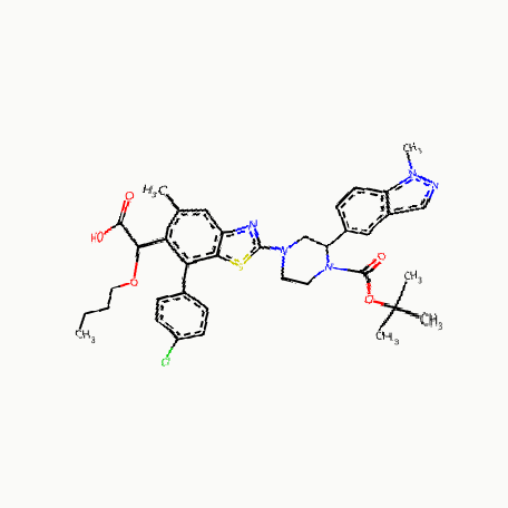 CCCCOC(C(=O)O)c1c(C)cc2nc(N3CCN(C(=O)OC(C)(C)C)C(c4ccc5c(cnn5C)c4)C3)sc2c1-c1ccc(Cl)cc1